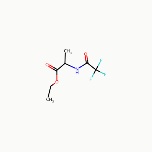 CCOC(=O)C(C)NC(=O)C(F)(F)F